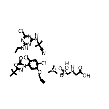 C#CCOc1cc(-n2nc(C(C)(C)C)oc2=O)c(Cl)cc1Cl.CCNc1nc(Cl)nc(NC(C)(C)C#N)n1.C[S+](C)C.O=C(O)CNCP(=O)([O-])O